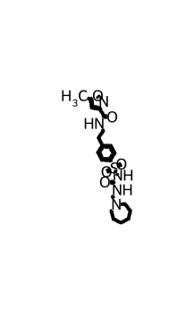 Cc1cc(C(=O)NCCc2ccc(S(=O)(=O)NC(=O)NCN3CCCCCC3)cc2)no1